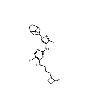 Cc1nn(C2CC3CCC(C2)N3C)cc1Nc1ncc(Br)c(NCCCN2CCC2=O)n1